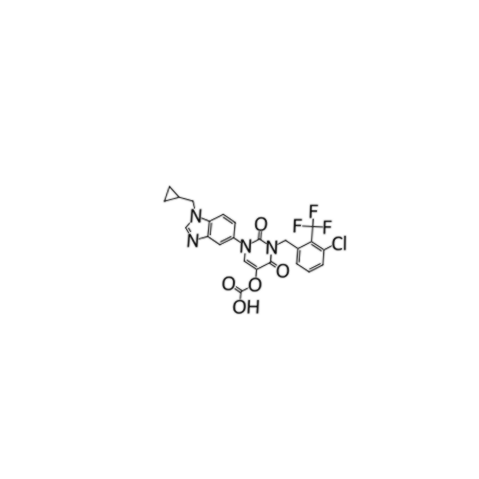 O=C(O)Oc1cn(-c2ccc3c(c2)ncn3CC2CC2)c(=O)n(Cc2cccc(Cl)c2C(F)(F)F)c1=O